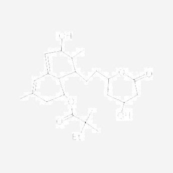 CCC(C)(C)C(=O)OC1CC(C)=CC2=CC(O)C(C)C(CCC3CC(O)CC(=O)O3)C21